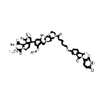 CNC(=O)N1CCc2c(-c3cc(OC)c(CN4CCC5(CC4)CN(C(=O)CCCCOc4ccc6c(c4)C(=O)N(C4CCC(=O)NC4=O)C6=O)CCO5)c(OC)c3)cn(C)c(=O)c2C1C(=O)O